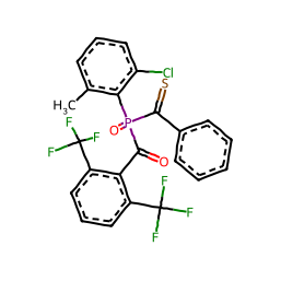 Cc1cccc(Cl)c1P(=O)(C(=O)c1c(C(F)(F)F)cccc1C(F)(F)F)C(=S)c1ccccc1